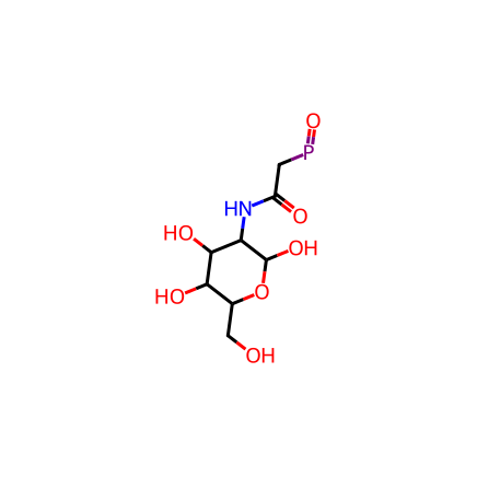 O=PCC(=O)NC1C(O)OC(CO)C(O)C1O